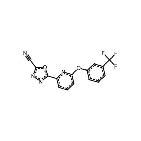 N#Cc1nnc(-c2cccc(Oc3cccc(C(F)(F)F)c3)n2)o1